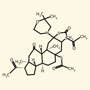 CC(=O)SC1CC2(SC(C)=O)CC[C@H]3[C@@H]4CC[C@H](C(C)=O)[C@@]4(C)CC(=O)[C@@H]3[C@@]2(C)CC1(SC(C)=O)N1CCOC(C)(C)C1